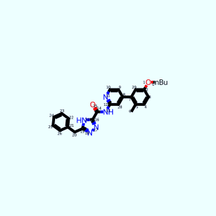 CCCCOc1ccc(C)c(-c2ccnc(NC(=O)c3nnc(Cc4ccccc4)[nH]3)c2)c1